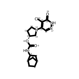 O=C(NC1CC2CCC1C2)O[C@@H]1CCN(c2cn[nH]c(=O)c2Cl)C1